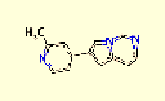 Cc1cc(-c2cc3ccncn3c2)ccn1